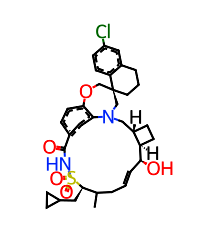 CC1C/C=C/[C@H](O)[C@@H]2CC[C@H]2CN2C[C@@]3(CCCc4cc(Cl)ccc43)COc3ccc(cc32)C(=O)NS(=O)(=O)[C@@H]1CC1CC1